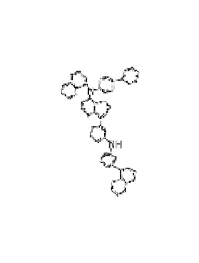 c1ccc(-c2ccc(N(c3cccc4ccccc34)c3cccc4c(-c5cccc(Nc6cccc(-c7cccc8ccccc78)c6)c5)cccc34)cc2)cc1